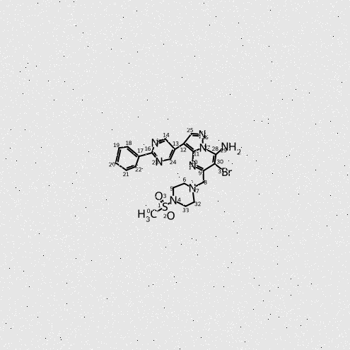 CS(=O)(=O)N1CCN(Cc2nc3c(-c4cnc(-c5ccccc5)nc4)cnn3c(N)c2Br)CC1